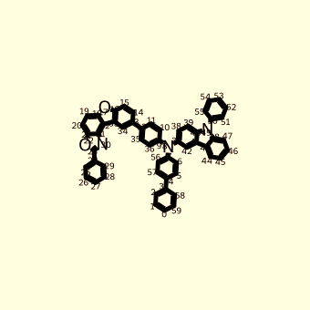 c1ccc(-c2ccc(N(c3ccc(-c4ccc5oc6ccc7oc(-c8ccccc8)nc7c6c5c4)cc3)c3ccc4c(c3)c3ccccc3n4-c3ccccc3)cc2)cc1